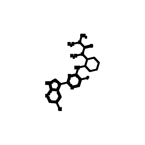 CN(C)C(=O)N(N)C1CCCCC1Nc1nc(-c2c[nH]c3ncc(Cl)cc23)ncc1F